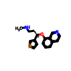 CNCC[C@H](Oc1cccc2ccncc12)c1ccsc1